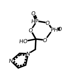 O=[PH]1O[PH](=O)OC(O)(Cn2ccnc2)O1